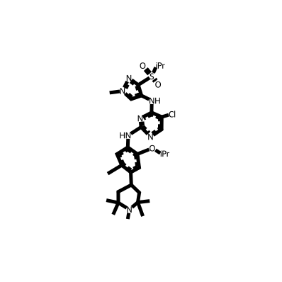 Cc1cc(Nc2ncc(Cl)c(Nc3cn(C)nc3S(=O)(=O)C(C)C)n2)c(OC(C)C)cc1C1CC(C)(C)N(C)C(C)(C)C1